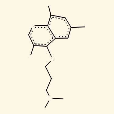 CCOC(=O)c1cnc2c(C)cc(C)cc2c1NCCCN(C)C